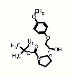 COc1ccc(OCC(O)[C@@H]2CCCN2C(=O)OC(C)(C)C)cc1